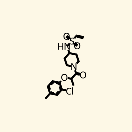 C=CS(=O)(=O)NC1CCN(C(=O)C(C)Oc2ccc(C)cc2Cl)CC1